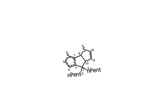 CCCCCC1(CCCCC)c2ccsc2C2SC=CC21